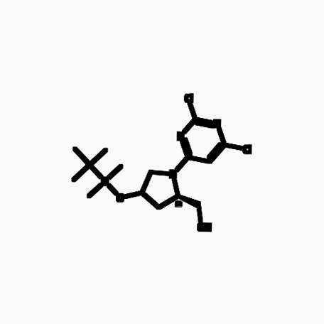 CC(C)(C)[Si](C)(C)OC1C[C@H](CO)N(c2cc(Cl)nc(Cl)n2)C1